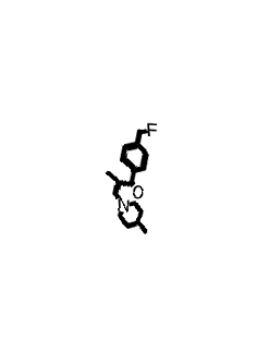 CC1CCN(CC(C)C(=O)c2ccc(CF)cc2)CC1